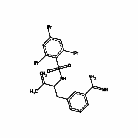 C=C(C)C(Cc1cccc(C(=N)N)c1)NS(=O)(=O)c1c(C(C)C)cc(C(C)C)cc1C(C)C